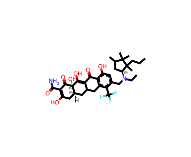 CCCC1(C)[C@@H](N(CC)Cc2cc(O)c3c(c2C(F)(F)F)CC2C[C@H]4CC(O)=C(C(N)=O)C(=O)[C@@]4(O)C(O)=C2C3=O)CC(C)C1(C)C